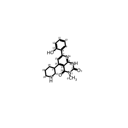 Cn1c(=O)[nH]c2nc(-c3ccccc3O)cc(C3CCCNC3)c2c1=O